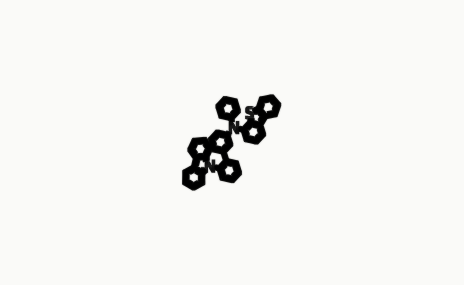 c1ccc(N(c2cccc(-c3ccccc3-n3c4ccccc4c4ccccc43)c2)c2cccc3c2sc2ccccc23)cc1